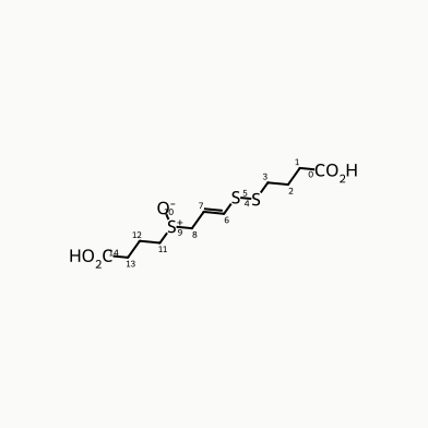 O=C(O)CCCSS/C=C/C[S+]([O-])CCCC(=O)O